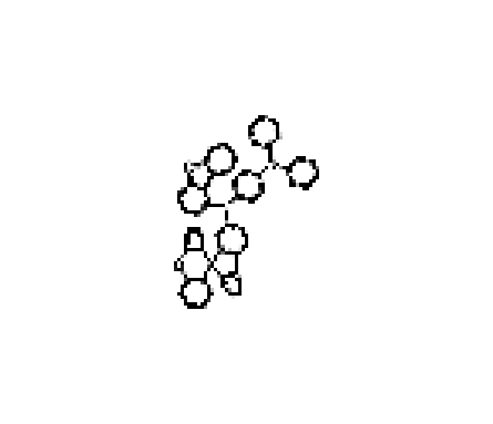 c1ccc(N(c2ccccc2)c2ccc(N(c3ccc4c(c3)C3(c5ccccc5Oc5ccccc53)c3ccccc3-4)c3cccc4oc5ccccc5c34)cc2)cc1